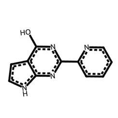 Oc1nc(-c2ccccn2)nc2[nH]ccc12